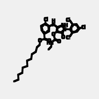 CCCCCCCCCCCCOC(=O)c1ccc(Cl)c(Nc2[nH]n(-c3c(Cl)cc(Cl)cc3Cl)c(=O)c2OC(=O)NCC)c1